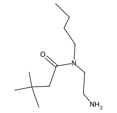 CCCCN(CCN)C(=O)CC(C)(C)C